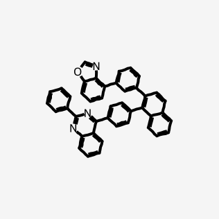 c1ccc(-c2nc(-c3ccc(-c4c(-c5cccc(-c6cccc7ocnc67)c5)ccc5ccccc45)cc3)c3ccccc3n2)cc1